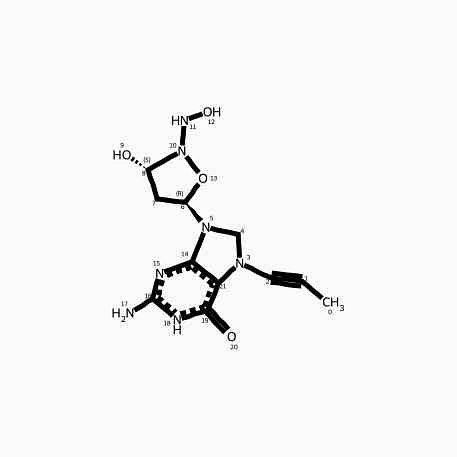 CC#CN1CN([C@H]2C[C@H](O)N(NO)O2)c2nc(N)[nH]c(=O)c21